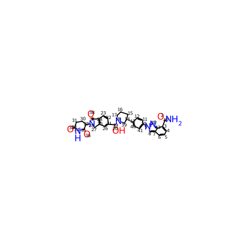 NC(=O)c1cccc2cn(-c3ccc([C@@H]4CCCN(C(O)c5ccc6c(c5)CN(C5CCC(=O)NC5=O)C6=O)C4)cc3)nc12